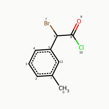 Cc1cccc(C(Br)C(=O)Cl)c1